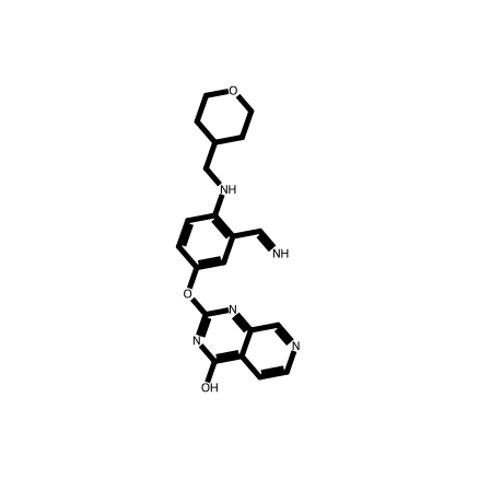 N=Cc1cc(Oc2nc(O)c3ccncc3n2)ccc1NCC1CCOCC1